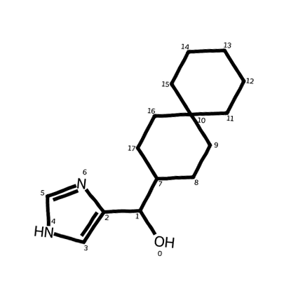 OC(c1c[nH]cn1)C1CCC2(CCCCC2)CC1